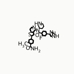 Cc1cc(-c2cc3c(N(C(=O)c4ccc(-c5c[nH]nn5)cc4F)[C@@H]4CCCNC4)nccc3s2)ccc1C(N)=O